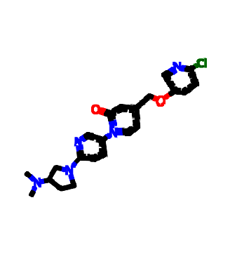 CN(C)C1CCN(c2ccc(-n3ccc(COc4ccc(Cl)nc4)cc3=O)cn2)C1